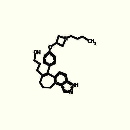 CCCCN1CC(Oc2ccc(C3=C(CCCO)CCCc4c3ccc3[nH]ncc43)cc2)C1